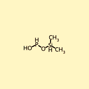 C[SiH](C)OPO